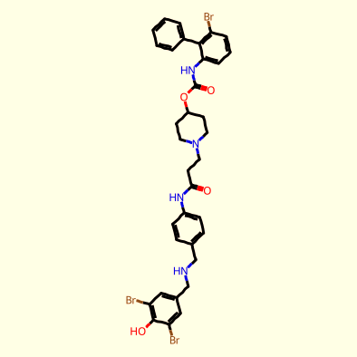 O=C(CCN1CCC(OC(=O)Nc2cccc(Br)c2-c2ccccc2)CC1)Nc1ccc(CNCc2cc(Br)c(O)c(Br)c2)cc1